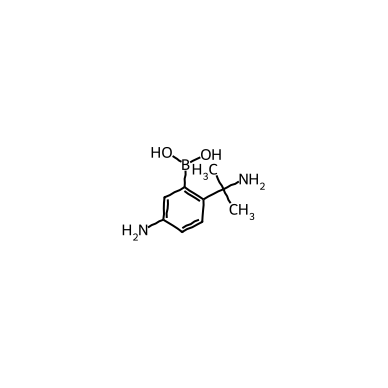 CC(C)(N)c1ccc(N)cc1B(O)O